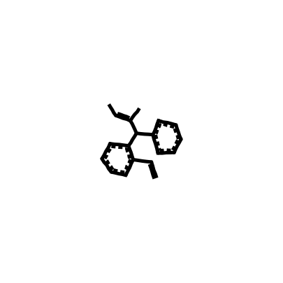 C=Cc1ccccc1C(C(C)=CC)c1ccccc1